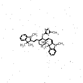 Cc1nnc(SC2=C(/C=C/C3=[N+](C)c4ccccc4C3(C)C)CCC/C2=C\C=C2\N(C)c3ccccc3C2(C)C)s1